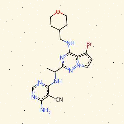 CC(Nc1ncnc(N)c1C#N)c1nc(NCC2CCOCC2)c2c(Br)ccn2n1